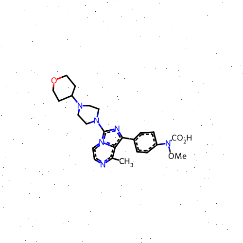 CON(C(=O)O)c1ccc(-c2nc(N3CCN(C4CCOCC4)CC3)n3ccnc(C)c23)cc1